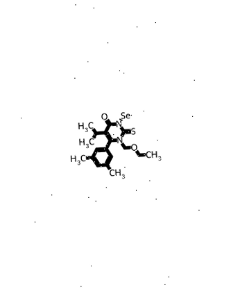 CCOCn1c(-c2cc(C)cc(C)c2)c(C(C)C)c(=O)n([Se])c1=S